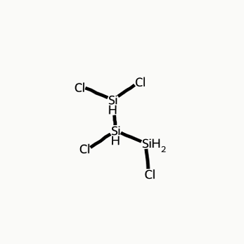 Cl[SiH2][SiH](Cl)[SiH](Cl)Cl